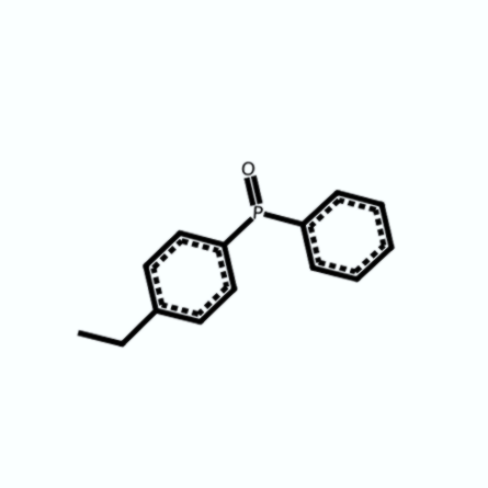 CCc1ccc([P](=O)c2ccccc2)cc1